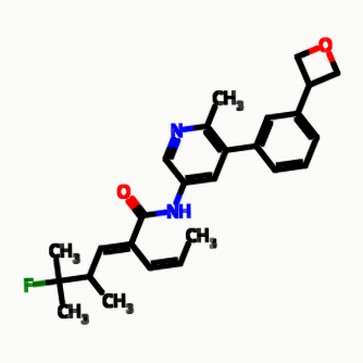 C/C=C\C(=C/C(C)C(C)(C)F)C(=O)Nc1cnc(C)c(-c2cccc(C3COC3)c2)c1